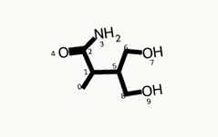 CC(C(N)=O)C(CO)CO